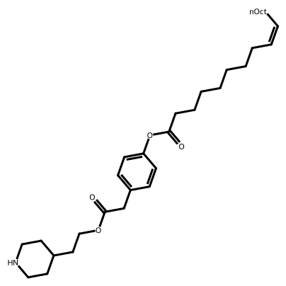 CCCCCCCC/C=C\CCCCCCCC(=O)Oc1ccc(CC(=O)OCCC2CCNCC2)cc1